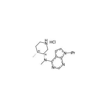 CC(C)n1ccc2c(N(C)[C@H]3CNCC[C@H]3C)ncnc21.Cl